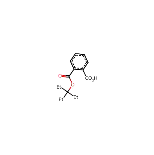 CCC(CC)(CC)OC(=O)c1ccccc1C(=O)O